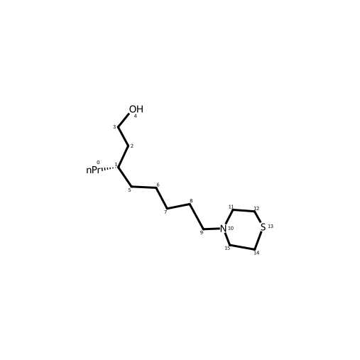 CCC[C@H](CCO)CCCCCN1CCSCC1